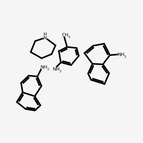 C1CCNCC1.Cc1cccc(N)c1.Nc1ccc2ccccc2c1.Nc1cccc2ccccc12